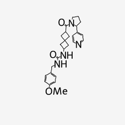 COc1ccc(CNC(=O)NC2CC3(C2)CC(C(=O)N2CCCC2c2ccncc2)C3)cc1